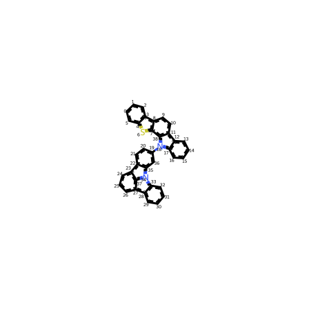 c1ccc2c(c1)sc1c2ccc2c3ccccc3n(-c3ccc4c5cccc6c7ccccc7n(c4c3)c65)c21